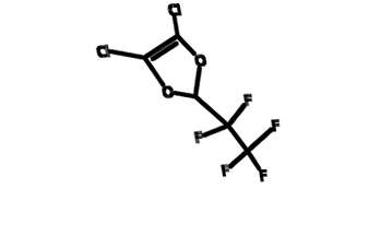 FC(F)(F)C(F)(F)C1OC(Cl)=C(Cl)O1